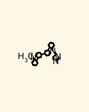 Cn1c2ccccc2c2cc(-c3ccc4c(c3)c3ccccc3n4Cc3ccncn3)ccc21